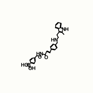 Cc1[nH]c2ccccc2c1CCNCc1ccc(C=CC(=O)NOCc2ccc(B(O)O)cc2)cc1